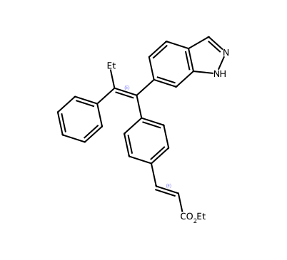 CCOC(=O)/C=C/c1ccc(/C(=C(/CC)c2ccccc2)c2ccc3cn[nH]c3c2)cc1